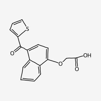 O=C(O)COc1ccc(C(=O)c2cccs2)c2ccccc12